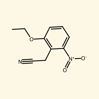 CCOc1cccc([N+](=O)[O-])c1CC#N